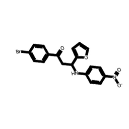 O=C(CC(Nc1ccc([N+](=O)[O-])cc1)c1ccco1)c1ccc(Br)cc1